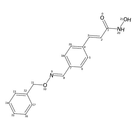 O=C(C=Cc1ccc(C=NOCc2ccccc2)cc1)NO